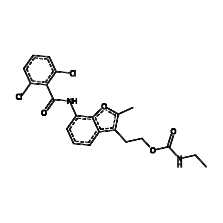 CCNC(=O)OCCc1c(C)oc2c(NC(=O)c3c(Cl)cccc3Cl)cccc12